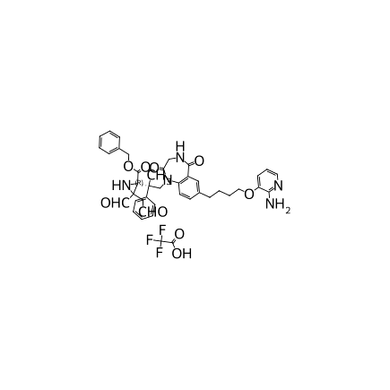 CC(CN1C(=O)CNC(=O)c2cc(CCCCOc3cccnc3N)ccc21)(c1ccccc1)[C@@]1(C(=O)OCc2ccccc2)NC1(C=O)CC=O.O=C(O)C(F)(F)F